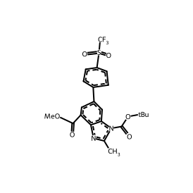 COC(=O)c1cc(-c2ccc(S(=O)(=O)C(F)(F)F)cc2)cc2c1nc(C)n2C(=O)OC(C)(C)C